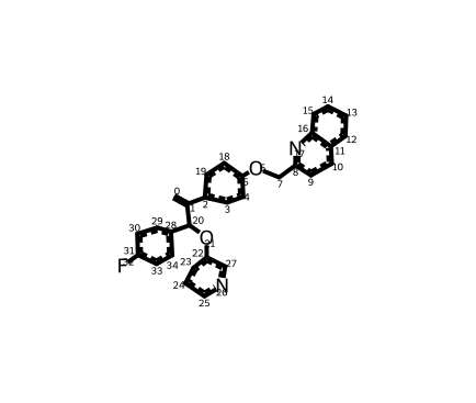 C=C(c1ccc(OCc2ccc3ccccc3n2)cc1)C(Oc1cccnc1)c1ccc(F)cc1